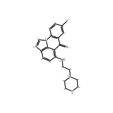 O=c1c2cc(F)ccc2n2cnc3ccc(NCCN4CCOCC4)c1c32